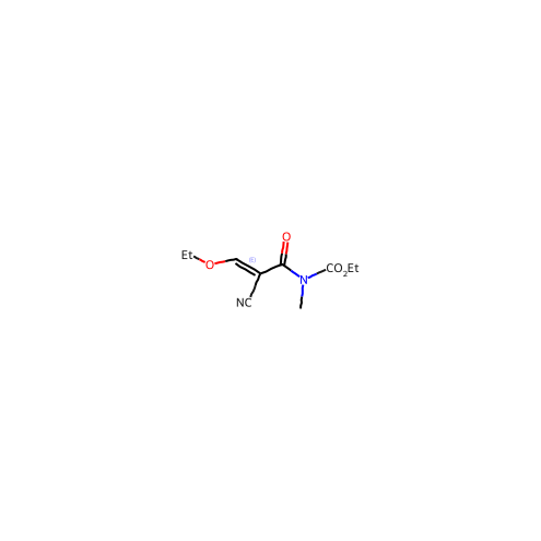 CCO/C=C(\C#N)C(=O)N(C)C(=O)OCC